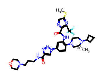 CSc1cnc(C(=O)Nc2cc(-n3cc(C(=O)NCCCN4CCOCC4)nn3)ccc2N2CCN(C3CCC3)[C@H](C)C2)c(C(F)(F)F)n1